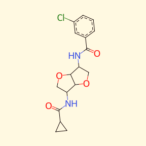 O=C(NC1COC2C(NC(=O)C3CC3)COC12)c1cccc(Cl)c1